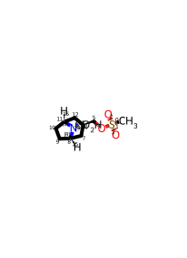 CS(=O)(=O)OC[C@H]1C[C@H]2CC[C@@H](C1)N2C(=O)O